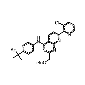 CC(=O)C(C)(C)c1ccc(Nc2nc(COCC(C)C)nc3nc(-c4ncccc4Cl)ccc23)cc1